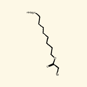 CCCCCCCCCCCCCCCOC(=O)CBr